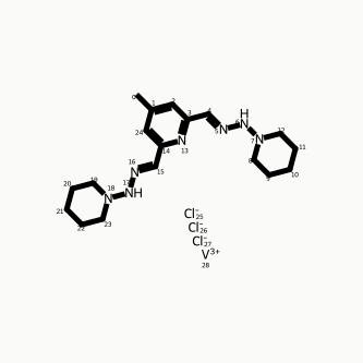 Cc1cc(C=NNN2CCCCC2)nc(C=NNN2CCCCC2)c1.[Cl-].[Cl-].[Cl-].[V+3]